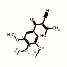 COc1cc(C(=O)C(C#N)=C(C)O)cc(OC)c1OC